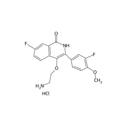 COc1ccc(-c2[nH]c(=O)c3cc(F)ccc3c2OCCN)cc1F.Cl